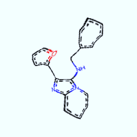 c1ccc(CNc2c(-c3ccco3)nc3ccccn23)cc1